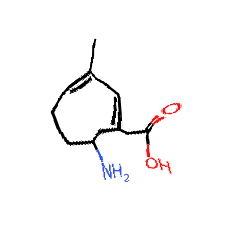 CC1=CCCC(N)C(C(=O)O)=C1